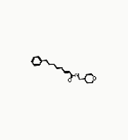 O=C(/C=C/CCCCCc1ccccc1)NCC1CCOCC1